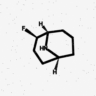 F[C@@H]1CC[C@@H]2CCC[C@H]1N2